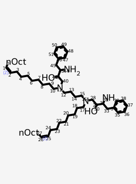 CCCCCCCC/C=C\CCCCCCCCN(CCCCN(CCCCCCCC/C=C\CCCCCCCC)CC(O)C(N)Cc1ccccc1)CC(O)C(N)Cc1ccccc1